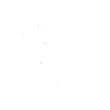 CON(C(=O)O)c1nc2cnc3ccccc3c2s1